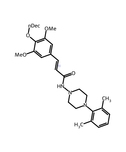 CCCCCCCCCCOc1c(OC)cc(/C=C/C(=O)NN2CCN(c3c(C)cccc3C)CC2)cc1OC